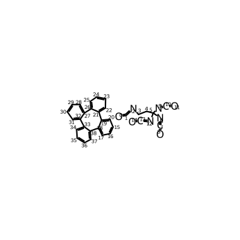 O=C=NCCC(N=C=O)(N=C=O)N=C=O.c1ccc2c(c1)-c1ccccc1-c1ccccc1-c1ccccc1-2